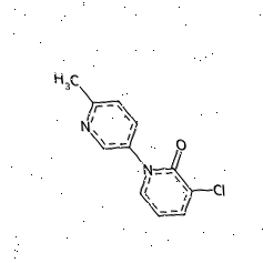 Cc1ccc(-n2cccc(Cl)c2=O)cn1